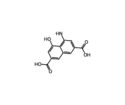 [NH]c1cc(C(=O)O)cc2cc(C(=O)O)cc(O)c12